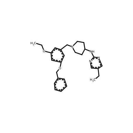 CCOc1cc(CN2CCC(Nc3ncc(CC)cn3)CC2)cc(OCc2ccccc2)c1